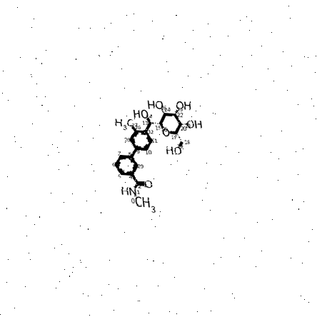 CNC(=O)c1cccc(-c2ccc(C(O)[C@H]3O[C@@H](CO)[C@@H](O)[C@H](O)[C@H]3O)c(C)c2)c1